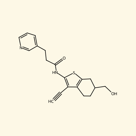 C#Cc1c(NC(=O)CCc2cccnc2)sc2c1CCC(CO)C2